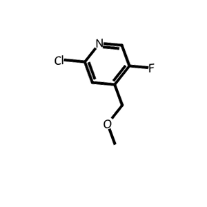 COCc1cc(Cl)ncc1F